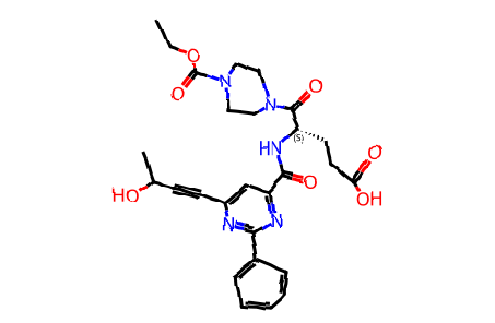 CCOC(=O)N1CCN(C(=O)[C@H](CCC(=O)O)NC(=O)c2cc(C#CC(C)O)nc(-c3ccccc3)n2)CC1